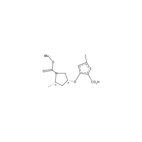 Cc1cc(O[C@@H]2C[C@H](C)N(C(=O)OC(C)(C)C)C2)c(C(=O)O)s1